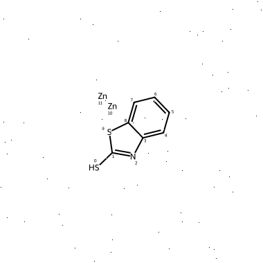 Sc1nc2ccccc2s1.[Zn].[Zn]